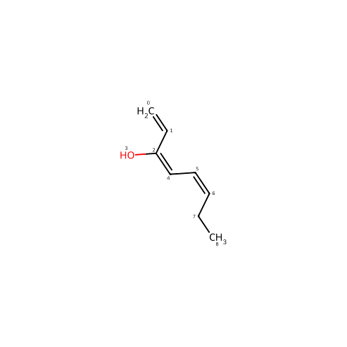 C=C/C(O)=C\C=C/CC